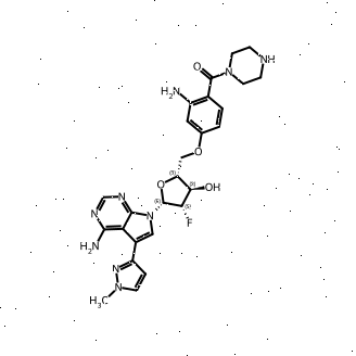 Cn1ccc(-c2cn([C@@H]3O[C@H](COc4ccc(C(=O)N5CCNCC5)c(N)c4)[C@@H](O)[C@@H]3F)c3ncnc(N)c23)n1